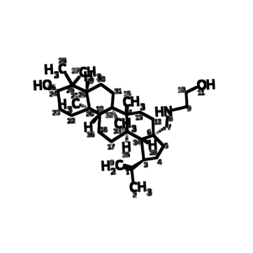 C=C(C)[C@@H]1CC[C@]2(CNCCO)CC[C@]3(C)[C@H](CC[C@@H]4[C@@]5(C)CC[C@H](O)C(C)(C)[C@@H]5CC[C@]43C)[C@@H]12